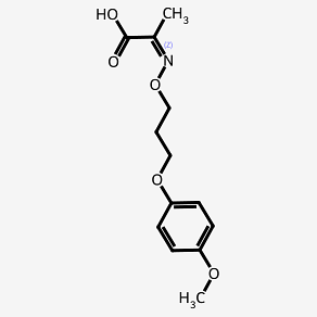 COc1ccc(OCCCO/N=C(/C)C(=O)O)cc1